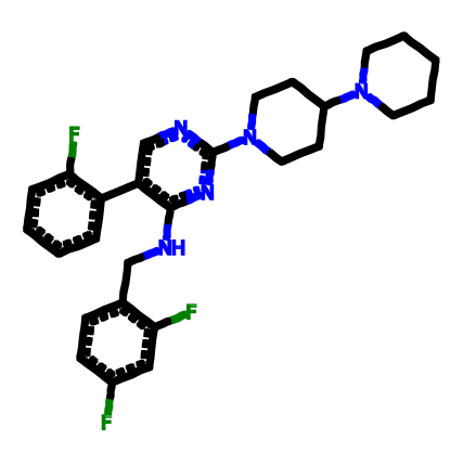 Fc1ccc(CNc2nc(N3CCC(N4CCCCC4)CC3)ncc2-c2ccccc2F)c(F)c1